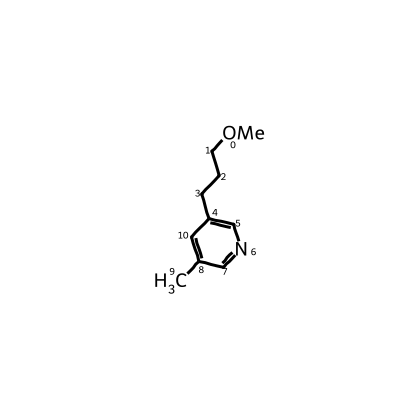 COCCCc1cncc(C)c1